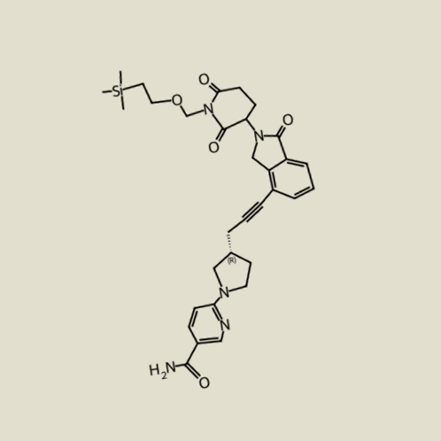 C[Si](C)(C)CCOCN1C(=O)CCC(N2Cc3c(C#CC[C@@H]4CCN(c5ccc(C(N)=O)cn5)C4)cccc3C2=O)C1=O